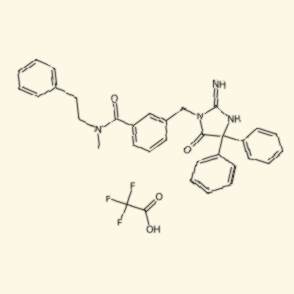 CN(CCc1ccccc1)C(=O)c1cccc(CN2C(=N)NC(c3ccccc3)(c3ccccc3)C2=O)c1.O=C(O)C(F)(F)F